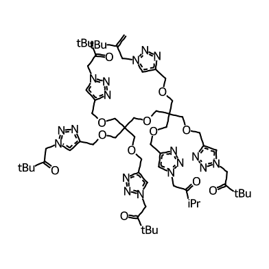 C=C(Cn1cc(COCC(COCc2cn(CC(=O)C(C)C)nn2)(COCc2cn(CC(=O)C(C)(C)C)nn2)COCC(COCc2cn(CC(=O)C(C)(C)C)nn2)(COCc2cn(CC(=O)C(C)(C)C)nn2)COCc2cn(CC(=O)C(C)(C)C)nn2)nn1)C(C)(C)C